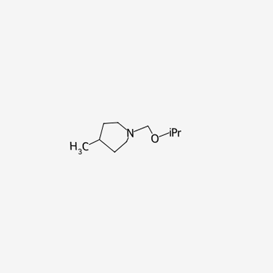 CC1CCN(COC(C)C)CC1